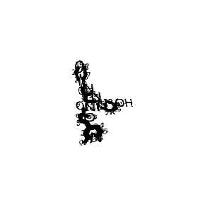 Cc1cc(-c2ccc(C(=O)Nc3cc4oc(N5CCOCC5)nc4nc3N3CCC[C@@H](O)C3)o2)ccn1